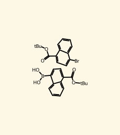 CC(C)(C)OC(=O)c1ccc(B(O)O)c2ccccc12.CC(C)(C)OC(=O)c1ccc(Br)c2ccccc12